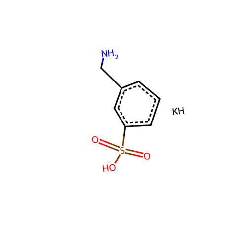 NCc1cccc(S(=O)(=O)O)c1.[KH]